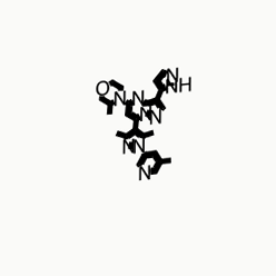 Cc1cncc(-n2nc(C)c(-c3cc(N4CCOCC4C)nc4c(-c5ccn[nH]5)cnn34)c2C)c1